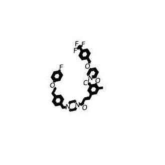 Cc1cc(C=CC(=O)N2CCN(Cc3ccc(CCOc4ccc(F)cc4)cc3)CC2)cc(Cl)c1Oc1ccc(OCc2ccc(C(F)(F)F)cc2)cn1